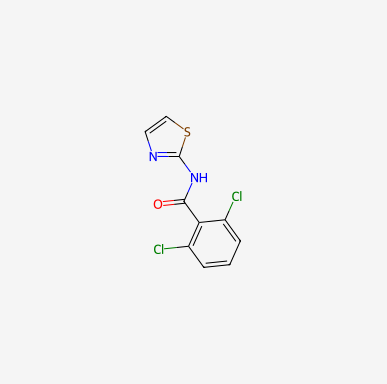 O=C(Nc1nccs1)c1c(Cl)cccc1Cl